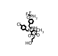 Cn1c2c(c(=O)n(CCCO)c1=O)N(Cc1ccc(Cl)cc1)C(Cc1cccc(OC(F)(F)P)c1)N2